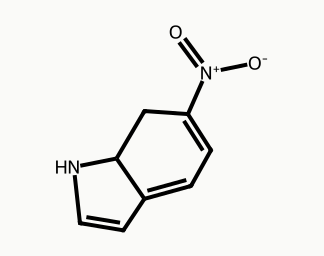 O=[N+]([O-])C1=CC=C2C=CNC2C1